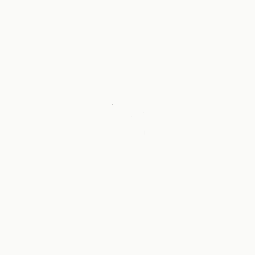 CC(=O)OC(=O)C(C)(CC(C)(C)C)C(C)(C)C